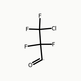 O=[C]C(F)(F)C(F)(F)Cl